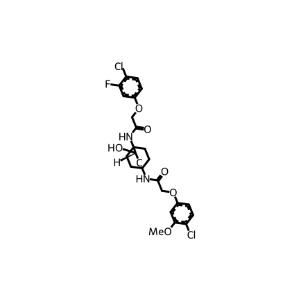 COc1cc(OCC(=O)NC23CCC(NC(=O)COc4ccc(Cl)c(F)c4)(CC2)[C@@H](O)C3)ccc1Cl